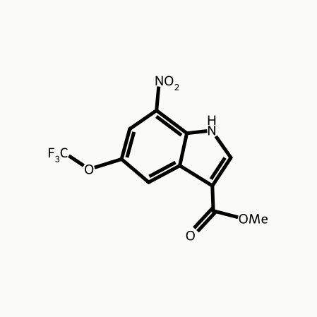 COC(=O)c1c[nH]c2c([N+](=O)[O-])cc(OC(F)(F)F)cc12